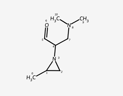 CC1CN1C(C=O)CN(C)C